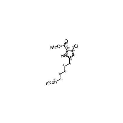 CCCCCCCCCCCCCCc1cc(Cl)c(C(=O)OC)[nH]1